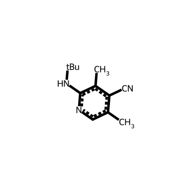 Cc1cnc(NC(C)(C)C)c(C)c1C#N